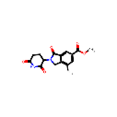 COC(=O)c1cc(C)c2c(c1)C(=O)N(C1CCC(=O)NC1=O)C2